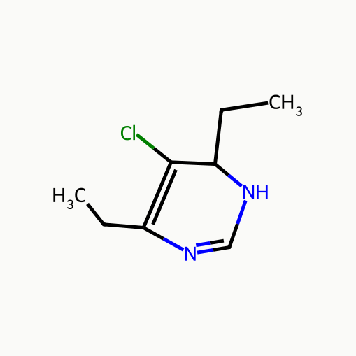 CCC1=C(Cl)C(CC)NC=N1